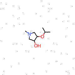 CC(C)OC1CN(C)CC1O